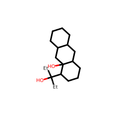 CCC(O)(CC)C1CCCC2CC3CCCCC3CC21O